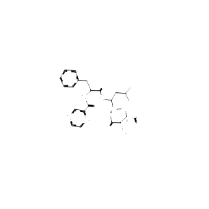 CC(C)CC(NC(=O)C(Cc1ccccc1)NC(=O)c1cnccn1)B1OC(=O)[C@H](N)[C@H](C(=O)O)O1